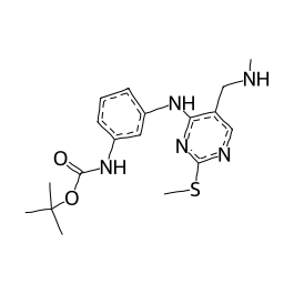 CNCc1cnc(SC)nc1Nc1cccc(NC(=O)OC(C)(C)C)c1